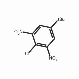 CC(C)(C)c1cc([N+](=O)[O-])c(Cl)c([N+](=O)[O-])c1